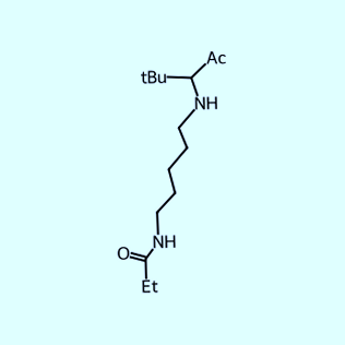 CCC(=O)NCCCCCNC(C(C)=O)C(C)(C)C